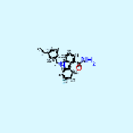 CCc1cccc(Cn2c3cc(F)c[c]c3c3c(C(N)=O)cccc32)c1